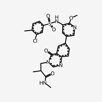 CNC(=O)C(C)Cn1cnc2ccc(-c3cnc(OC)c(NS(=O)(=O)c4ccc(C)c(Cl)c4)c3)cc2c1=O